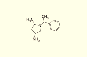 CC(c1ccccc1)N1CC(N)C[C@@H]1C